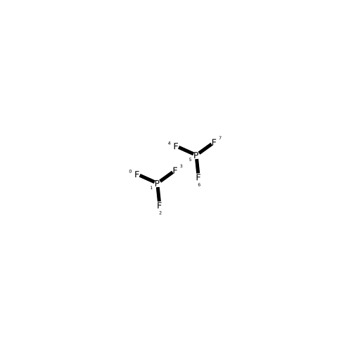 FP(F)F.FP(F)F